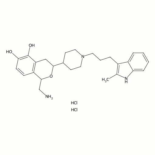 Cc1[nH]c2ccccc2c1CCCN1CCC(C2Cc3c(ccc(O)c3O)C(CN)O2)CC1.Cl.Cl